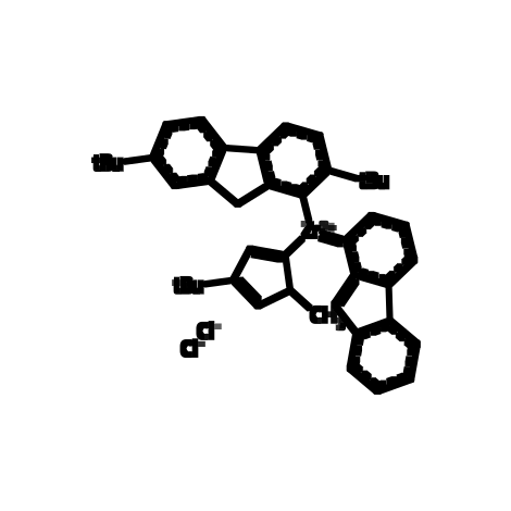 CC1C=C(C(C)(C)C)C=[C]1[Zr+2]([c]1c(C(C)(C)C)ccc2c1Cc1cc(C(C)(C)C)ccc1-2)=[c]1cccc2c1=Cc1ccccc1-2.[Cl-].[Cl-]